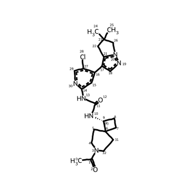 CC(=O)N1CCC2(CC[C@H]2NC(=O)Nc2cc(-c3cnn4c3CC(C)(C)C4)c(Cl)cn2)CC1